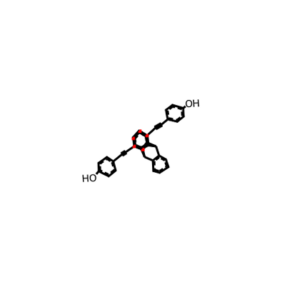 Oc1ccc(C#Cc2ccc(C#Cc3ccc(O)cc3)c3c2C2c4ccccc4C3c3ccccc32)cc1